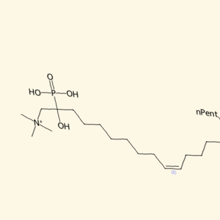 CCCCC/C=C\CCC/C=C\CCCCCCCC(O)(C[N+](C)(C)C)P(=O)(O)O